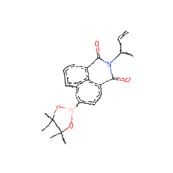 C=CC(C)N1C(=O)c2cccc3c(B4OC(C)(C)C(C)(C)O4)ccc(c23)C1=O